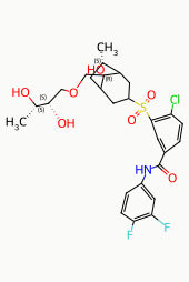 C[C@H](O)[C@@H](O)COC[C@@]1(O)C2CC(S(=O)(=O)c3cc(C(=O)Nc4ccc(F)c(F)c4)ccc3Cl)CC1[C@@H](C)C2